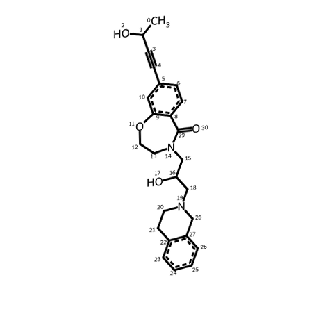 CC(O)C#Cc1ccc2c(c1)OCCN(CC(O)CN1CCc3ccccc3C1)C2=O